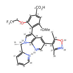 COc1cc(C(=O)O)cc(OCC(F)(F)F)c1-c1cn([C@@H](C)c2ccccn2)c2ncc(-c3c(C)noc3C)cc12